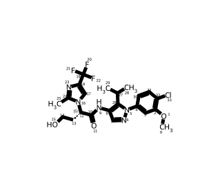 COc1cc(-n2ncc(NC(=O)[C@H](CCO)n3cc(C(F)(F)F)nc3C)c2C(C)C)ccc1Cl